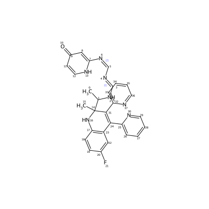 CC(N/C=N/C=N\c1cc(=O)cc[nH]1)C1(C)Nc2ccc(F)cc2C(c2ccccn2)=C1c1ccccn1